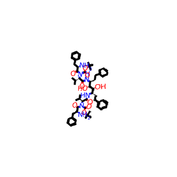 CC(C)[C@@H](C(=O)N[C@@H](CCc1ccccc1)[C@@H](O)[C@H](O)[C@H](CCc1ccccc1)NC(=O)[C@H](C(C)C)N(C(=O)OC(C)(C)C)C(=O)[C@@H](N)Cc1ccccc1)N(C(=O)OC(C)(C)C)C(=O)[C@@H](N)Cc1ccccc1